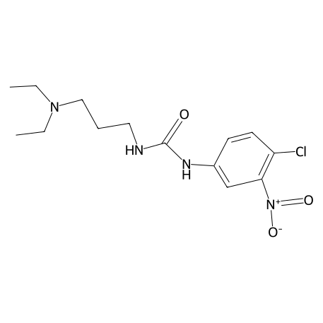 CCN(CC)CCCNC(=O)Nc1ccc(Cl)c([N+](=O)[O-])c1